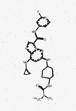 CN(C)C(=O)NC1CCC(Nc2cc(NC3CC3)c3ncc(C(=O)Nc4ccnc(F)c4)n3n2)CC1